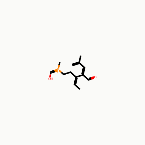 C=C(C)/C=C(C=O)\C(=C/C)CC/[PH](C)=C\O